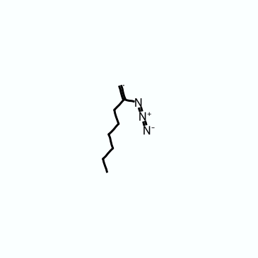 [CH]=C(CCCCCC)N=[N+]=[N-]